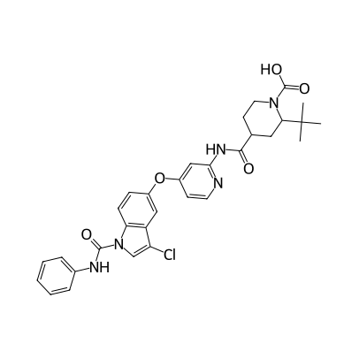 CC(C)(C)C1CC(C(=O)Nc2cc(Oc3ccc4c(c3)c(Cl)cn4C(=O)Nc3ccccc3)ccn2)CCN1C(=O)O